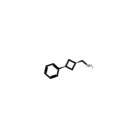 NC[C@H]1C[C@@H](c2ccccc2)C1